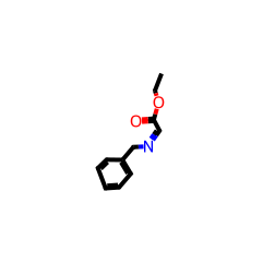 CCOC(=O)/C=N\Cc1ccccc1